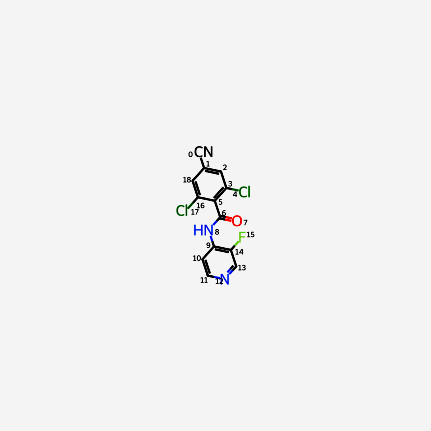 N#Cc1cc(Cl)c(C(=O)Nc2ccncc2F)c(Cl)c1